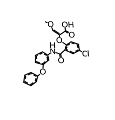 COC=C(Oc1ccc(Cl)cc1C(=O)Nc1cccc(Oc2ccccc2)c1)C(=O)O